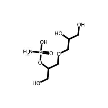 NP(=O)(O)OC(CO)COCC(O)CO